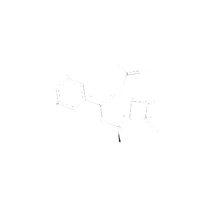 CC(=O)O[C@@H]1NC(=O)[C@@H]1[C@@H](C)OC(=O)c1ccccc1